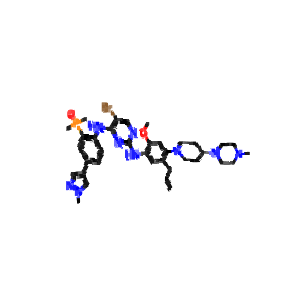 CCCc1cc(Nc2ncc(Br)c(Nc3ccc(-c4cnn(C)c4)cc3P(C)(C)=O)n2)c(OC)cc1N1CCC(N2CCN(C)CC2)CC1